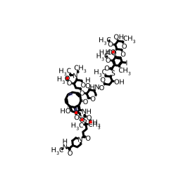 CCN(C(C)=O)C1COC(OC2C(O[C@H]3C#C/C=C\C#C[C@]4(O)CC(=O)C(NC(=O)OC)=C3/C4=C\CSSC(C)(C)CCC(=O)N3CCC(C(=O)NC)CC3)OCC(NOC3CC(O)C(SC(=O)c4c(C)c(I)c(OC5OC(C)C(O)C(OC)C5O)c(OC)c4OC)C(C)O3)C2O)CC1OC